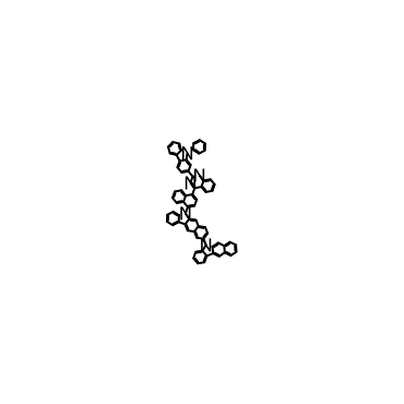 c1ccc(-n2c3ccccc3c3ccc(-c4nc(-c5ccc(-n6c7ccccc7c7cc8cc(-n9c%10ccccc%10c%10cc%11ccccc%11cc%109)ccc8cc76)c6ccccc56)c5ccccc5n4)cc32)cc1